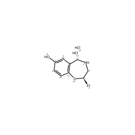 CC[C@@H]1CNCc2nc(O)ccc2O1.Cl.Cl